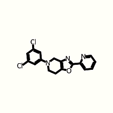 Clc1cc(Cl)cc(N2CCc3oc(-c4ccccn4)nc3C2)c1